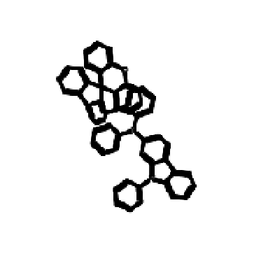 c1ccc(N(c2ccc3c4ccccc4n(-c4ccccc4)c3c2)c2ccccc2-c2cccc3c2C2(c4ccccc4Oc4ccccc42)c2ccccc2-3)cc1